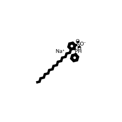 CCCCCCCCCCCCCCCCc1cccc(S(=O)(=O)[O-])c1Pc1ccccc1.[Na+]